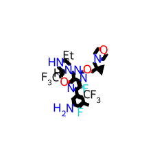 CC[C@@H]1CN2c3nc(OCC4(CN5CCOCC5)CC4)nc4c(F)c(-c5cc(N)c(F)c(C)c5C(F)(F)F)nc(c34)OC(C(F)(F)F)[C@@H]2CN1